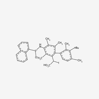 CCCCc1c(C)ccc(-c2c(C)c(C)c(N[S+]([O-])c3cccc4ccccc34)c(C)c2C(I)C(=O)O)c1C